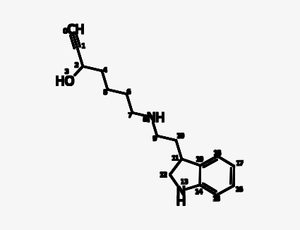 C#CC(O)CCCCNCCC1CNc2ccccc21